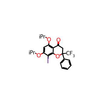 CC(C)Oc1cc(OC(C)C)c2c(c1I)OC(c1ccccc1)(C(F)(F)F)CC2=O